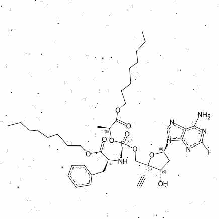 C#C[C@]1(CO[P@](=O)(N[C@@H](Cc2ccccc2)C(=O)OCCCCCCCC)O[C@@H](C)C(=O)OCCCCCCCC)O[C@@H](n2cnc3c(N)nc(F)nc32)C[C@@H]1O